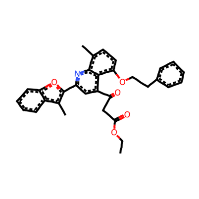 CCOC(=O)CC(=O)c1cc(-c2oc3ccccc3c2C)nc2c(C)ccc(OCCc3ccccc3)c12